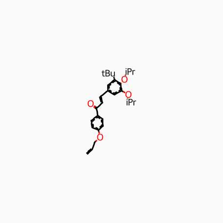 C=CCOc1ccc(C(=O)C=Cc2cc(OC(C)C)c(OC(C)C)c(C(C)(C)C)c2)cc1